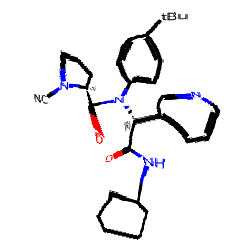 CC(C)(C)c1ccc(N(C(=O)[C@@H]2CCN2C#N)[C@@H](C(=O)NC2CCCCC2)c2cccnc2)cc1